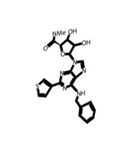 CNC(=O)[C@@H]1OC(n2cnc3c(NCc4ccccc4)nc(-c4ccsc4)nc32)C(O)C1O